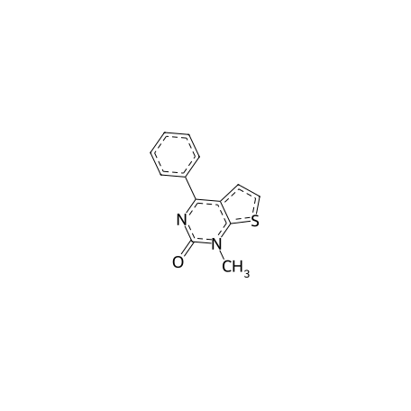 Cn1c(=O)nc(-c2ccccc2)c2ccsc21